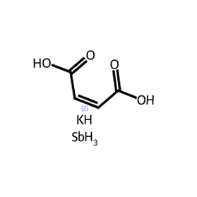 O=C(O)/C=C\C(=O)O.[KH].[SbH3]